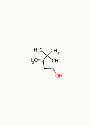 C=C(CCO)C(C)(C)C